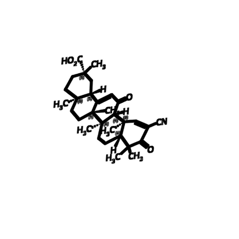 CC1(C)C(=O)C(C#N)=C[C@]2(C)[C@H]3C(=O)C=C4[C@H]5C[C@@](C)(C(=O)O)CC[C@]5(C)CC[C@@]4(C)[C@]3(C)CC[C@@H]12